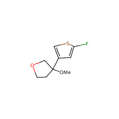 COC1(c2csc(F)c2)CCOC1